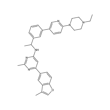 CCN1CCN(c2ccc(-c3cccc(C(C)Nc4cc(-c5ccc6occ(C)c6c5)nc(C)n4)c3)cn2)CC1